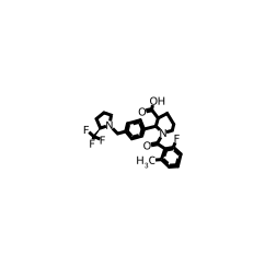 Cc1cccc(F)c1C(=O)N1CCCC(C(=O)O)C1c1ccc(CN2CCC[C@@H]2C(F)(F)F)cc1